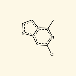 Cc1nc(Cl)cc2nccn12